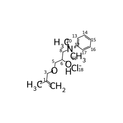 C=C(C)COCC(O)C[N+](C)(C)c1ccccc1.[Cl-]